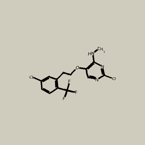 CNc1nc(Cl)ncc1OC[CH]c1cc(Cl)ccc1C(F)(F)F